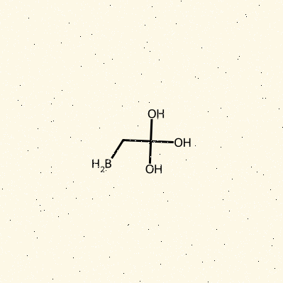 BCC(O)(O)O